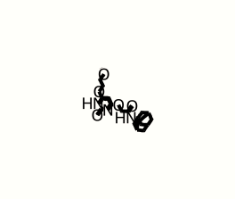 COCCOc1cc(OCC(=O)NC23CC4CC(CC(C4)C2)C3)nc(=O)[nH]1